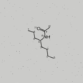 CCCCC(CCC)NC(C)=O